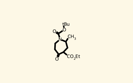 CCOC(=O)C1CC(C)N(C(=O)OC(C)(C)C)CCC1=O